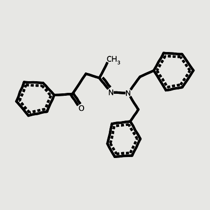 CC(CC(=O)c1ccccc1)=NN(Cc1ccccc1)Cc1ccccc1